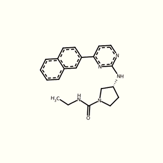 CCNC(=O)N1CC[C@@H](Nc2nccc(-c3ccc4ccccc4c3)n2)C1